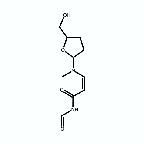 CN(/C=C\C(=O)NC=O)C1CCC(CO)O1